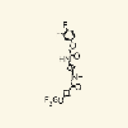 O=C(COc1ccc(F)c(F)c1)NC12CC(NCC(=O)C3CC(OC(F)(F)F)C3)(C1)C2